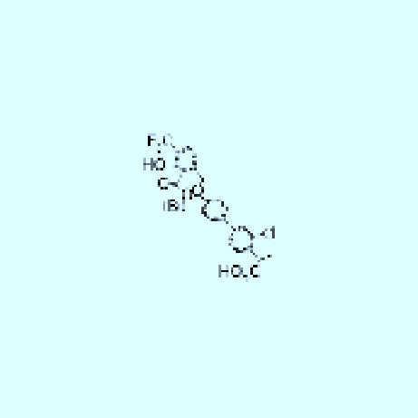 CC(C(=O)O)c1ccc(-c2ccc(OCc3ccc(C(F)(F)F)c(O)c3C(=O)OC(C)(C)C)cc2)cc1Cl